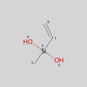 C=C[Si](C)(O)O